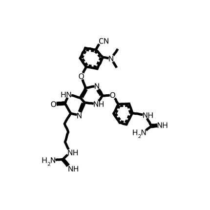 CN(C)c1cc(OC2=C3NC(=O)C(CCCNC(=N)N)N=C3NC(Oc3cccc(NC(=N)N)c3)=N2)ccc1C#N